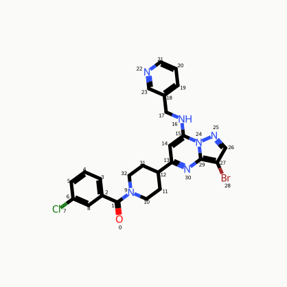 O=C(c1cccc(Cl)c1)N1CCC(c2cc(NCc3cccnc3)n3ncc(Br)c3n2)CC1